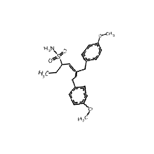 CCC(C=C(Cc1ccc(OC)cc1)Cc1ccc(OC)cc1)S(N)(=O)=O